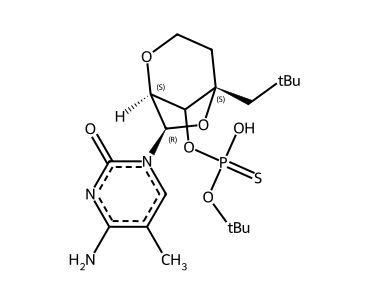 Cc1cn([C@@H]2O[C@@]3(CC(C)(C)C)CCO[C@H]2C3OP(O)(=S)OC(C)(C)C)c(=O)nc1N